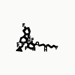 C[C@@H]1Cc2c([nH]c3ccc(F)cc23)[C@@H](c2c(F)cnc(OCCNCCCF)c2F)N1CC1(F)CC1